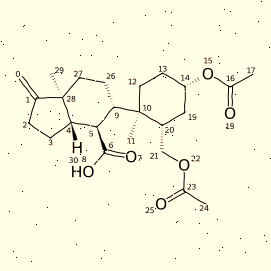 C=C1CC[C@H]2[C@H](C(=O)O)[C@@H]([C@@]3(C)CC[C@H](OC(C)=O)C[C@@H]3COC(C)=O)CC[C@]12C